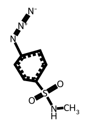 CNS(=O)(=O)c1ccc(N=[N+]=[N-])cc1